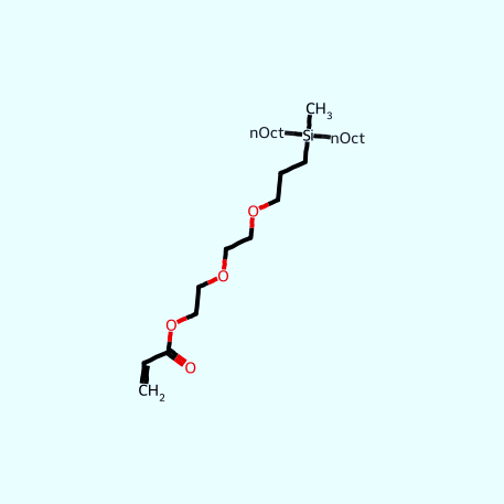 C=CC(=O)OCCOCCOCCC[Si](C)(CCCCCCCC)CCCCCCCC